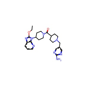 CCOc1nc2cccnc2n1C1CCN(C(=O)C2CCN(Cc3cnc(N)nc3)CC2)CC1